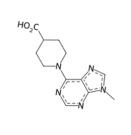 Cn1cnc2c(N3CCC(C(=O)O)CC3)ncnc21